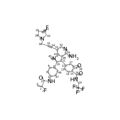 C=C(F)C(=O)Nc1ccc(-c2c(-c3ccc(C(=O)NCC(F)(F)F)c(OC)c3)c3c(N)ncc(C#CCN4CC[C@@H](F)C4)c3n2C)cc1